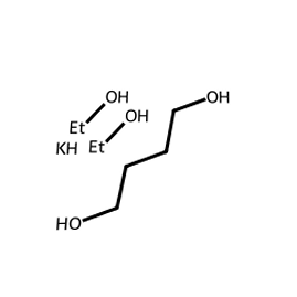 CCO.CCO.OCCCCO.[KH]